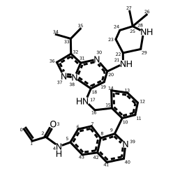 C=CC(=O)Nc1ccc2c(-c3ccccc3CNc3cc(NC4CCC(C)(C)NC4)nc4c(C(C)C)cnn34)nccc2c1